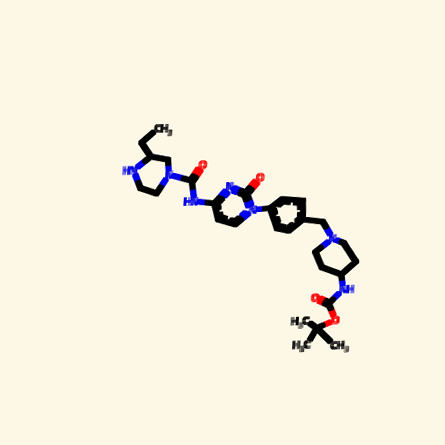 CCC1CN(C(=O)Nc2ccn(-c3ccc(CN4CCC(NC(=O)OC(C)(C)C)CC4)cc3)c(=O)n2)CCN1